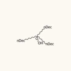 CCCCCCCCCCCCCCCCCC(CCCCCCCCCCCCCCCC)(CCCCCCCCCCCCCCCC)OCCO